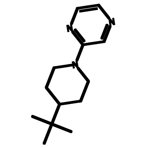 CC(C)(C)C1CCN(c2cnccn2)CC1